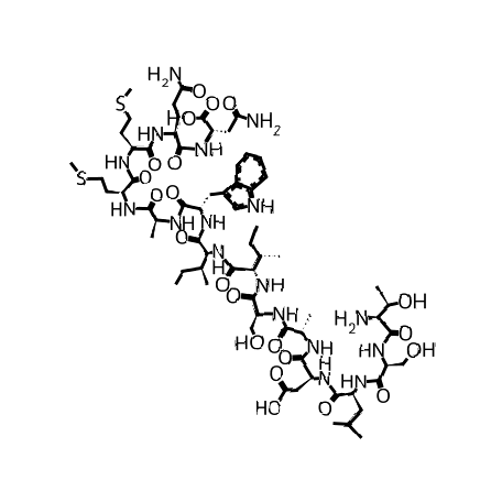 CC[C@H](C)[C@H](NC(=O)[C@H](CO)NC(=O)[C@H](C)NC(=O)[C@H](CC(=O)O)NC(=O)[C@H](CC(C)C)NC(=O)[C@H](CO)NC(=O)[C@@H](N)[C@@H](C)O)C(=O)N[C@H](C(=O)N[C@@H](Cc1c[nH]c2ccccc12)C(=O)N[C@@H](C)C(=O)N[C@@H](CCSC)C(=O)N[C@@H](CCSC)C(=O)N[C@@H](CCC(N)=O)C(=O)N[C@@H](CC(N)=O)C(=O)O)[C@@H](C)CC